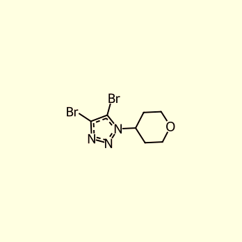 Brc1nnn(C2CCOCC2)c1Br